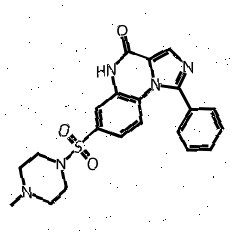 CN1CCN(S(=O)(=O)c2ccc3c(c2)[nH]c(=O)c2cnc(-c4ccccc4)n23)CC1